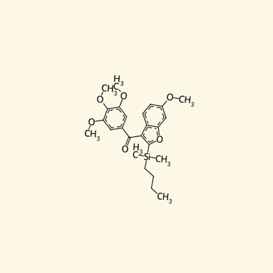 CCCC[Si](C)(C)c1oc2cc(OC)ccc2c1C(=O)c1cc(OC)c(OC)c(OC)c1